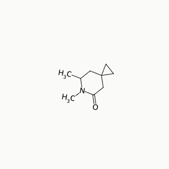 CC1CC2(CC2)CC(=O)N1C